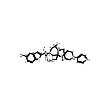 COCC12CN(S(=O)(=O)c3cc4cc(Cl)ccc4o3)CC(=O)N1CC1(CCN(c3ccncc3)CC1)N2